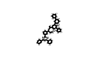 C=C1CC(c2cccc(-c3nc(-c4ccccc4)cc(-c4ccccc4)n3)c2)C=COc2c1cc1c(oc3ccc(-c4ccccc4)cc31)c2-c1ccccc1